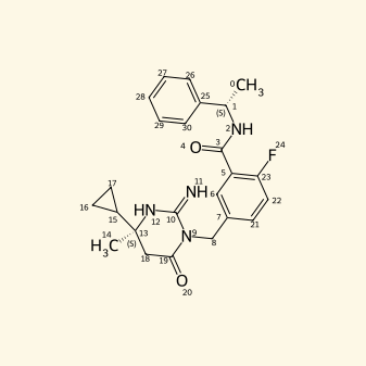 C[C@H](NC(=O)c1cc(CN2C(=N)N[C@](C)(C3CC3)CC2=O)ccc1F)c1ccccc1